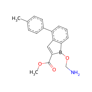 COC(=O)C1=Cc2c(cccc2-c2ccc(C)cc2)B1OCN